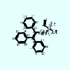 C=C[Si](CC)(CC)CC.[SiH3]C(=C(c1ccccc1)c1ccccc1)c1ccccc1